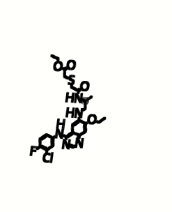 CCOC(=O)CSCC(=O)N[C@@H](C)CNc1cc2c(Nc3ccc(F)c(Cl)c3)ncnc2cc1OCC